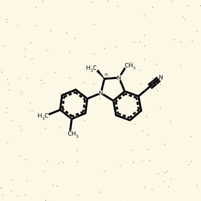 Cc1ccc(N2c3cccc(C#N)c3N(C)[C@@H]2C)cc1C